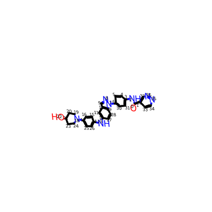 O=C(Nc1ccc(-n2ncc3cc(Nc4ccc(N5CCC(O)CC5)cc4)ccc32)cc1)c1ccnnc1